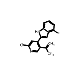 C=C(C)c1cnc(Cl)cc1-c1cc2c(F)cccc2[nH]1